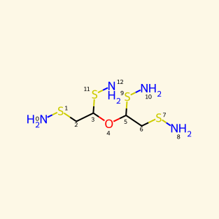 NSCC(OC(CSN)SN)SN